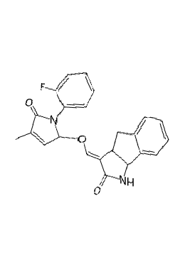 CC1=CC(O/C=C2/C(=O)NC3c4ccccc4CC23)N(c2ccccc2F)C1=O